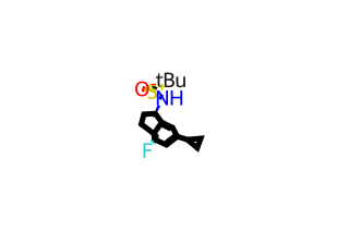 CC(C)(C)[S+]([O-])N[C@@H]1CCc2c(F)cc(C3CC3)cc21